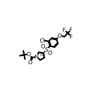 CC(C)(C)OC(=O)N1CC[C@H](S(=O)(=O)c2ccc(OCC(F)(F)F)cc2Cl)C1